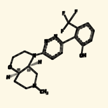 CN1CC[C@H]2OCCN(c3ccc(-c4c(O)cccc4C(F)(F)F)nn3)[C@H]2C1